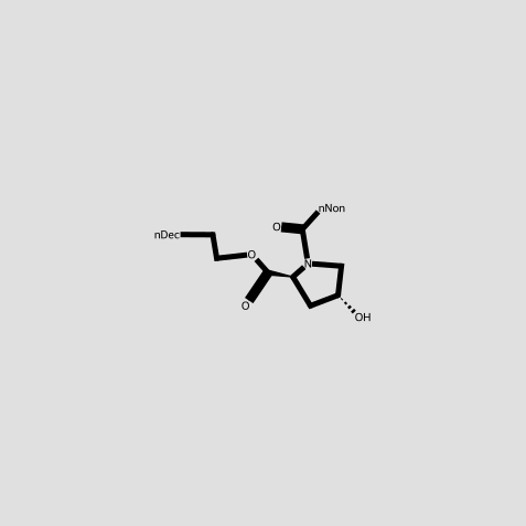 CCCCCCCCCCCCOC(=O)[C@@H]1C[C@@H](O)CN1C(=O)CCCCCCCCC